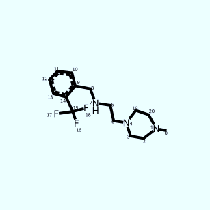 CN1CCN(CCNCc2ccccc2C(F)(F)F)CC1